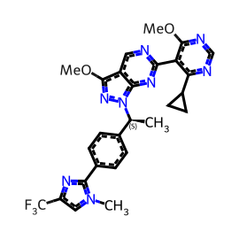 COc1ncnc(C2CC2)c1-c1ncc2c(OC)nn([C@@H](C)c3ccc(-c4nc(C(F)(F)F)cn4C)cc3)c2n1